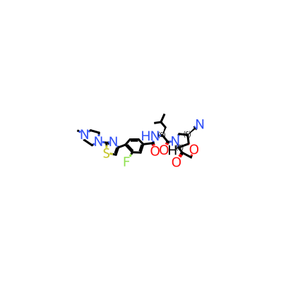 CC(C)C[C@H](NC(=O)c1ccc(-c2csc(N3CCN(C)CC3)n2)c(F)c1)C(=O)N1C[C@@H](C#N)C2OCC(=O)[C@H]21